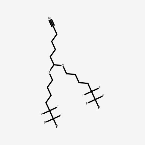 N#CCCCCC(OCCCCC(F)(F)C(F)(F)F)OCCCCC(F)(F)C(F)(F)F